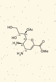 COC(=O)C1=C[C@H](N)[C@@H](N)[C@H]([C@H](OC(C)=O)[C@H](O)CO)O1